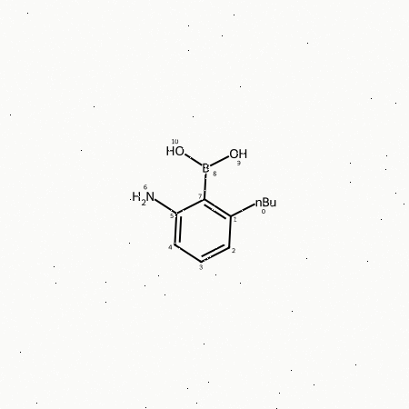 CCCCc1cccc(N)c1B(O)O